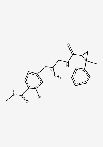 CNC(=O)c1ccc(C[C@H](N)CNC(=O)C2CC2(C)c2ccccc2)cc1F